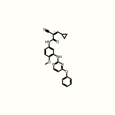 COc1ccc(NC(=O)/C(C#N)=C\C2CC2)cc1Nc1nccc(Oc2ccccc2)n1